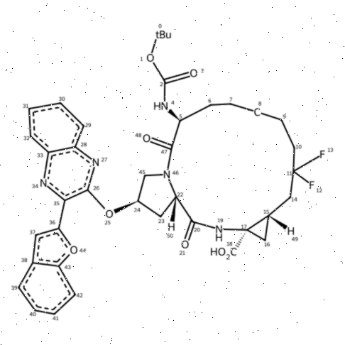 CC(C)(C)OC(=O)N[C@H]1CCCCCC(F)(F)C[C@@H]2C[C@@]2(C(=O)O)NC(=O)[C@@H]2C[C@@H](Oc3nc4ccccc4nc3-c3cc4ccccc4o3)CN2C1=O